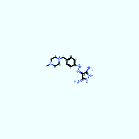 CN1CCN(Cc2ccc(NN=C3C(N)=NN=C3N)cc2)CC1